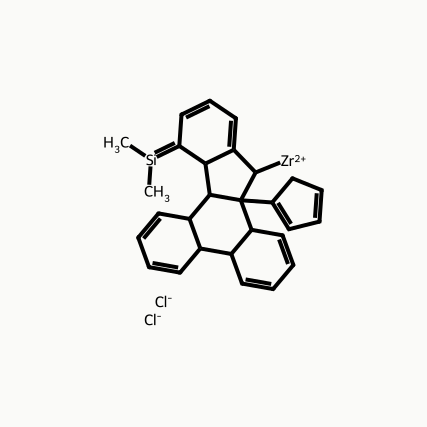 C[Si](C)=C1C=CC=C2C1C1C3C=CC=CC3C3C=CC=CC3C1(C1=CC=CC1)[CH]2[Zr+2].[Cl-].[Cl-]